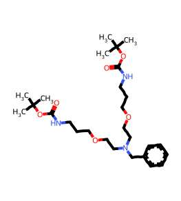 CC(C)(C)OC(=O)NCCCOCCN(CCOCCCNC(=O)OC(C)(C)C)Cc1ccccc1